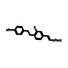 CCCCCC=Cc1ccc(CCc2ccc(CCC)cc2)c(F)c1